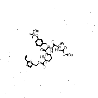 C=Cc1ccc(COC(=O)[C@@H]2CCCN(C(=O)[C@H](Cc3cccc(O[Si](C)(C)C(C)(C)C)c3)NC(=O)[C@@H](NC(=O)OC(C)(C)C)C(C)C)N2)s1